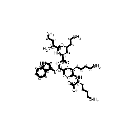 NCCCC[C@H](NC(=O)[C@H](CCCCN)NC(=O)[C@H](Cc1c[nH]c2ccccc12)NC(=O)[C@H](CCCCN)NC(=O)[C@@H](N)CCN)C(=O)O